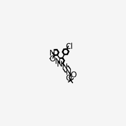 COc1ncccc1-c1nnc(N2CCN(C(=O)OC(C)(C)C)CC2)cc1-c1ccc(Cl)cc1